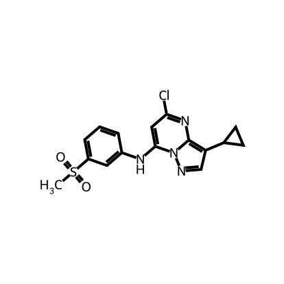 CS(=O)(=O)c1cccc(Nc2cc(Cl)nc3c(C4CC4)cnn23)c1